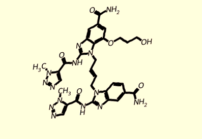 Cn1nncc1C(=O)Nc1nc2cc(C(N)=O)ccc2n1C/C=C/Cn1c(NC(=O)c2cnnn2C)nc2cc(C(N)=O)cc(OCCCO)c21